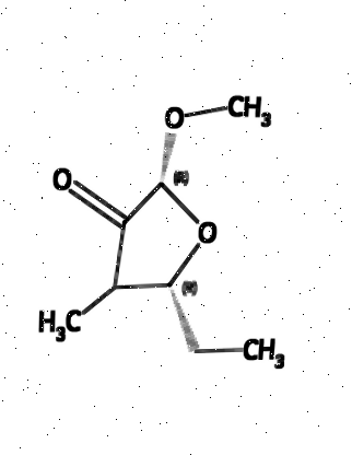 CC[C@H]1O[C@@H](OC)C(=O)C1C